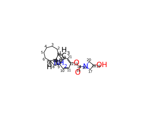 C[C@@]12CCCCC[C@@H](Cc3ccc(OC(=O)N4CC(O)C4)cc31)[C@@H]2N